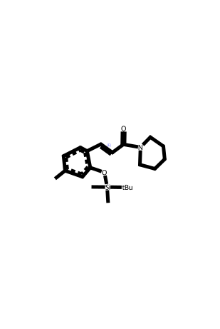 Cc1ccc(/C=C/C(=O)N2CCCCC2)c(O[Si](C)(C)C(C)(C)C)c1